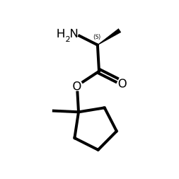 C[C@H](N)C(=O)OC1(C)CCCC1